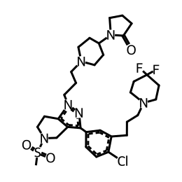 CS(=O)(=O)N1CCc2c(c(-c3ccc(Cl)c(CCCN4CCC(F)(F)CC4)c3)nn2CCCN2CCC(N3CCCC3=O)CC2)C1